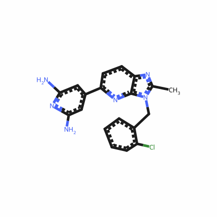 Cc1nc2ccc(-c3cc(N)nc(N)c3)nc2n1Cc1ccccc1Cl